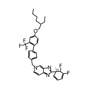 CCCCC(CC)COc1ccc(-c2ccc(Cn3ccc4nc([C@]5(C)C=CC=C(F)C5F)nc-4c3)cc2)c(C(F)(F)F)c1